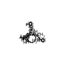 C=C(N[C@H]1CCCCC/C=C\[C@@H]2C[C@@]2(C(=O)NS(=O)(=O)C2CC2)NC(=O)[C@@H]2C[C@@H](OC(=O)N3Cc4cccc(F)c4C3)CN2C1=O)S/C=C(\N)c1ccccc1